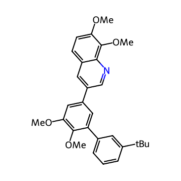 COc1cc(-c2cnc3c(OC)c(OC)ccc3c2)cc(-c2cccc(C(C)(C)C)c2)c1OC